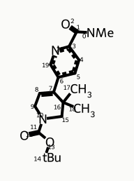 CNC(=O)c1ccc(C2=CCN(C(=O)OC(C)(C)C)CC2(C)C)cn1